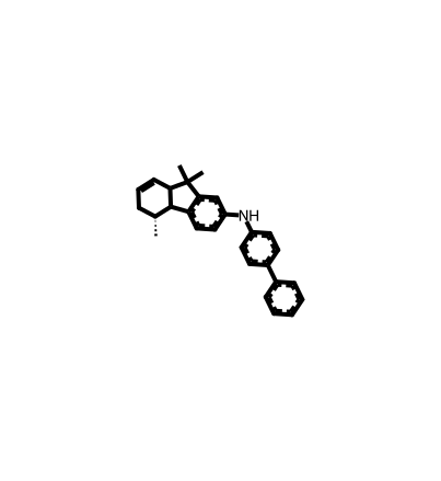 C[C@@H]1CC=CC2C1c1ccc(Nc3ccc(-c4ccccc4)cc3)cc1C2(C)C